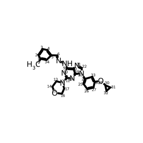 Cc1cccc(/C=N/Nc2nc(N3CCOCC3)nc3c2ncn3-c2cccc(OC3CC3)c2)c1